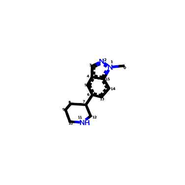 Cn1ncc2cc(C3CCCNC3)ccc21